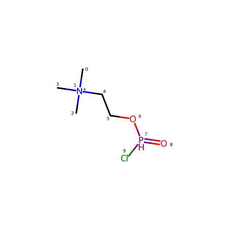 C[N+](C)(C)CCO[PH](=O)Cl